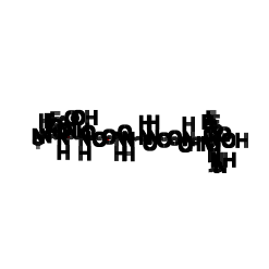 Cc1ccnc(NCCCC(=O)N[C@@H](CCCCNC(=O)CCOCCOCCNC(=O)NCCCCNC(=O)NCCOCCOCCC(=O)NCCCC[C@H](NC(=O)CCCNc2cc(C)ccn2)C(=O)NC(CC(=O)O)c2cccc(OC(F)(F)F)c2)C(=O)NC(CC(=O)O)c2cccc(OC(F)(F)F)c2)c1